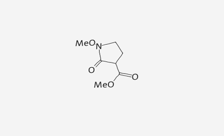 COC(=O)C1CCN(OC)C1=O